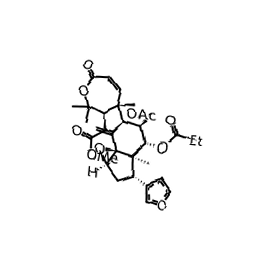 C=C1[C@@H]([C@@]2(C)C=CC(=O)OC(C)(C)[C@@H]2CC(=O)OC)[C@@H](OC(C)=O)[C@H](OC(=O)CC)[C@@]2(C)[C@H](c3ccoc3)C[C@H]3O[C@]132